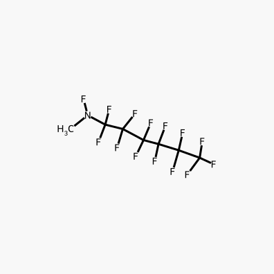 CN(F)C(F)(F)C(F)(F)C(F)(F)C(F)(F)C(F)(F)C(F)(F)F